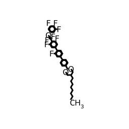 CCCCCCCCCC1COC(c2ccc(-c3ccc(-c4cc(F)c(C(F)(F)Oc5cc(F)c(F)c(F)c5)c(F)c4)c(F)c3)cc2)OC1